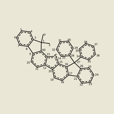 CC1(C)c2ccccc2-c2ccc3c(sc4c5c(ccc43)-c3ccccc3C5(c3ccccc3)c3ccccc3)c21